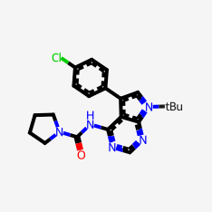 CC(C)(C)n1cc(-c2ccc(Cl)cc2)c2c(NC(=O)N3CCCC3)ncnc21